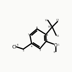 COc1cc(CCl)ccc1C(C)(C)C